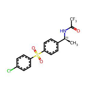 C[C@H](NC(=O)C(F)(F)F)c1ccc(S(=O)(=O)c2ccc(Cl)cc2)cc1